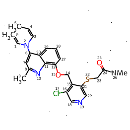 C=CN(/C=C\C)c1cc(C)nc2c(OCc3c(Cl)cncc3SCC(=O)NC)cccc12